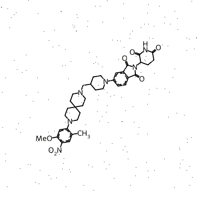 COc1cc(N2CCC3(CCN(CC4CCN(c5ccc6c(c5)C(=O)N(C5CCC(=O)NC5=O)C6=O)CC4)CC3)CC2)c(C)cc1[N+](=O)[O-]